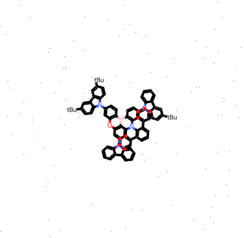 CC(C)(C)c1ccc2c(c1)c1ccccc1n2-c1ccc2c(c1)N(c1c(-c3ccccc3)cccc1-c1ccccc1)c1cc(-n3c4ccccc4c4ccccc43)cc3c1B2c1ccc(-n2c4ccc(C(C)(C)C)cc4c4cc(C(C)(C)C)ccc42)cc1O3